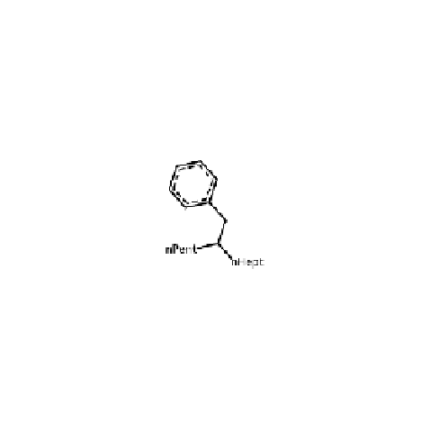 CCCCCCCC(CCCCC)Cc1[c]cccc1